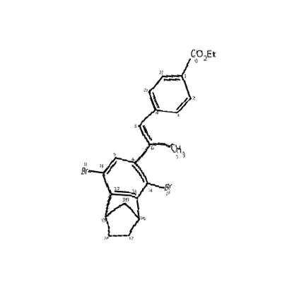 CCOC(=O)c1ccc(C=C(C)c2cc(Br)c3c(c2Br)C2CCC3C2)cc1